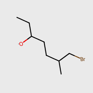 CCC([O])CCC(C)CBr